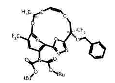 C[C@@H]1CC=CCC[C@](OCc2ccccc2)(C(F)(F)F)c2nnc(o2)-c2nc(c(C(F)(F)F)cc2N(C(=O)OC(C)(C)C)C(=O)OC(C)(C)C)O1